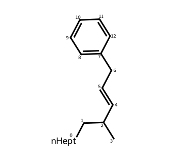 CCCCCCCCC(C)/C=C/Cc1ccccc1